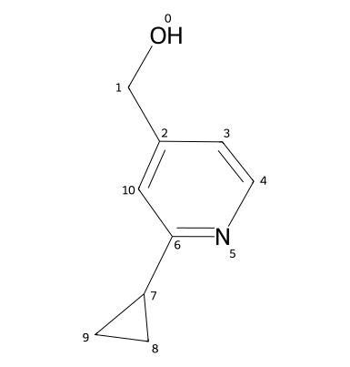 OCc1ccnc(C2CC2)c1